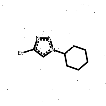 CCc1cn(C2CCCCC2)nn1